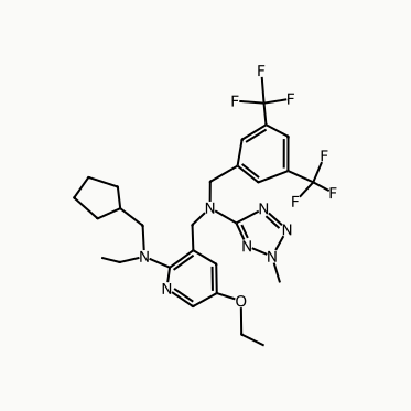 CCOc1cnc(N(CC)CC2CCCC2)c(CN(Cc2cc(C(F)(F)F)cc(C(F)(F)F)c2)c2nnn(C)n2)c1